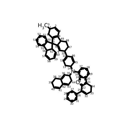 CC1C=CC2=C(C1)C1(C3=CC(C4=CCC(N(c5cccc6c7c(oc56)C(c5ccccc5)=CCC7)C5C=C6CCC=CC6=CC5)C=C4)CCC32)c2ccccc2C2C=CC=CC21